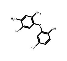 Cc1cc(N)c(Oc2cc(N)ccc2O)cc1O